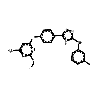 CCOc1nc(N)cc(Oc2ccc(-c3nnc(Nc4cccc(C)c4)[nH]3)cc2)n1